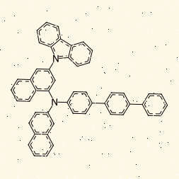 c1ccc(-c2ccc(-c3ccc(N(c4ccc5ccccc5c4)c4cc(-n5c6ccccc6c6ccccc65)cc5ccccc45)cc3)cc2)cc1